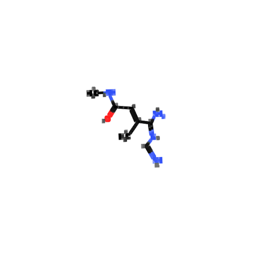 CNC(=O)/C=C(C)/C(N)=N\C=N